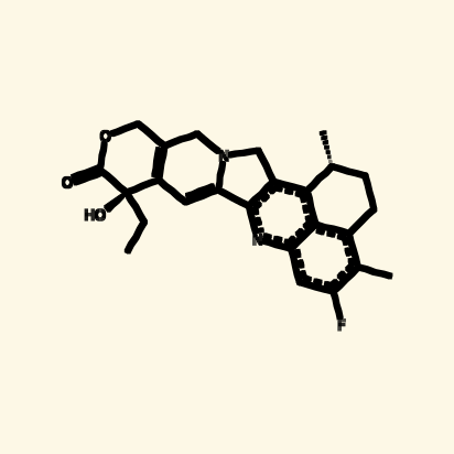 CC[C@]1(O)C(=O)OCC2=C1C=C1c3nc4cc(F)c(C)c5c4c(c3CN1C2)[C@H](C)CC5